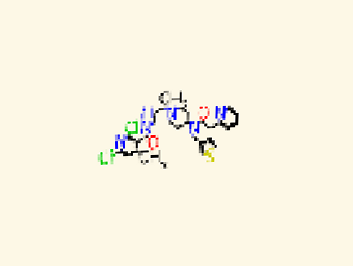 Cc1cc(Cl)nc(Cl)c1C(=O)NCCC(C)N1CCC(N(Cc2ccsc2)C(=O)Cc2ccccn2)CC1